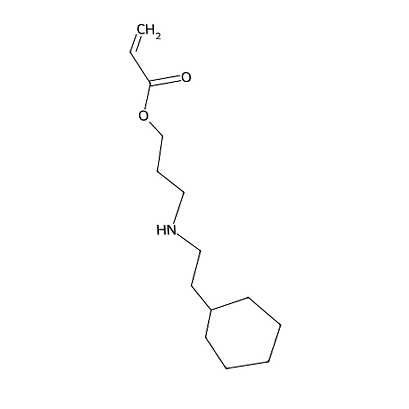 C=CC(=O)OCCCNCCC1CCCCC1